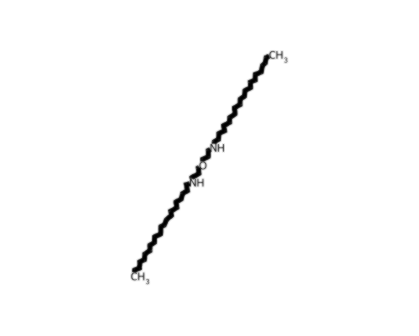 CCCCCCCCCCCCCCCCCCCCCCNCCCOCCCNCCCCCCCCCCCCCCCCCCCCCC